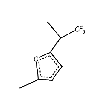 Cc1ccc(C(C)C(F)(F)F)o1